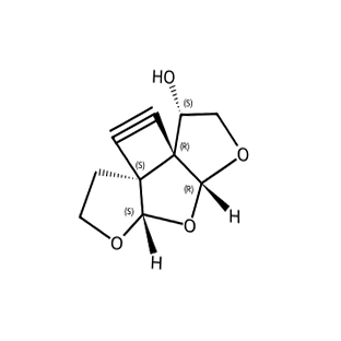 O[C@@H]1CO[C@@H]2O[C@@H]3OCC[C@@]34C#C[C@]214